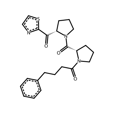 O=C(c1nccs1)[C@@H]1CCCN1C(=O)[C@@H]1CCCN1C(=O)CCCc1ccccc1